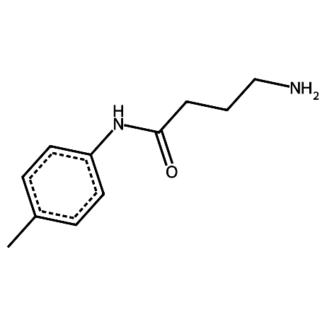 Cc1ccc(NC(=O)CCCN)cc1